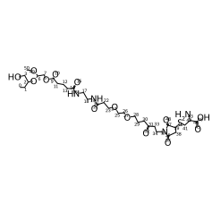 CCC(CO)OC(COC(=O)CCCC(=O)NCCNC(=O)CCOCCOCCCC(=O)CCN1C(=O)CC(SCC(N)C(=O)O)C1=O)OC